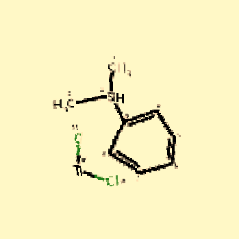 C[SiH](C)c1cc[c]cc1.[Cl][Ti][Cl]